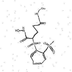 CS(=O)(=O)c1ccccc1S(=O)(=O)C(CCC(=O)NO)C(=O)NO